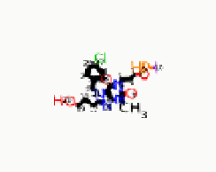 Cn1c(=O)n(CCCOPI)c(=O)c2c1nc(CCCO)n2Cc1ccc(Cl)cc1